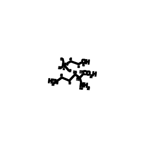 C[N+](C)(C)CCO.NCCCC(N)C(=O)O